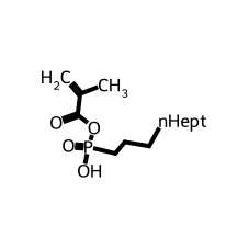 C=C(C)C(=O)OP(=O)(O)CCCCCCCCCC